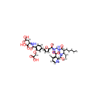 CCCCCC(C(=O)NCNC(=O)c1ccc(-c2ccc(C(=O)NC(CC(=O)O)C(=O)O)c(OCC(=O)O)c2)o1)[C@@H](CC)N(C=O)OC(=O)c1c(C)ccnc1C